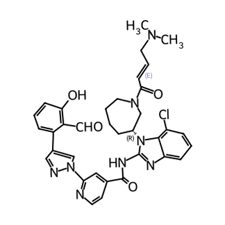 CN(C)C/C=C/C(=O)N1CCCC[C@@H](n2c(NC(=O)c3ccnc(-n4cc(-c5cccc(O)c5C=O)cn4)c3)nc3cccc(Cl)c32)C1